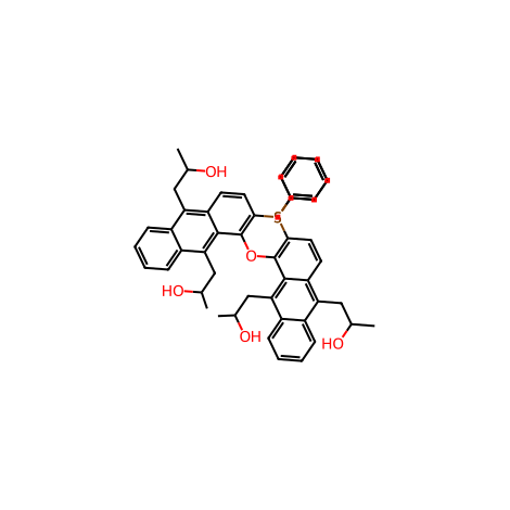 CC(O)Cc1c2ccccc2c(CC(C)O)c2c(Oc3c(Sc4ccccc4)ccc4c(CC(C)O)c5ccccc5c(CC(C)O)c34)c(Sc3ccccc3)ccc12